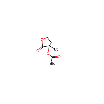 CCC(C)C(=O)OC1(CC)CCOC1=O